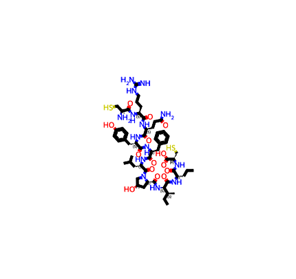 CCC[C@H](NC(=O)[C@@H](NC(=O)[C@@H]1C[C@@H](O)CN1C(=O)[C@H](CC(C)C)NC(=O)[C@H](Cc1ccccc1)NC(=O)[C@H](Cc1ccc(O)cc1)NC(=O)[C@H](CCC(N)=O)NC(=O)[C@H](CCCNC(=N)N)NC(=O)[C@@H](N)CS)[C@@H](C)CC)C(=O)N[C@@H](CS)C(=O)O